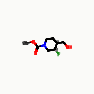 CC(C)(C)OC(=O)N1CC[C@@H](CO)[C@H](F)C1